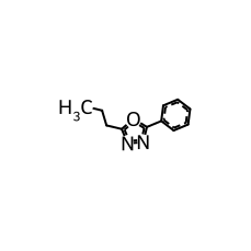 CCCc1nnc(-c2ccccc2)o1